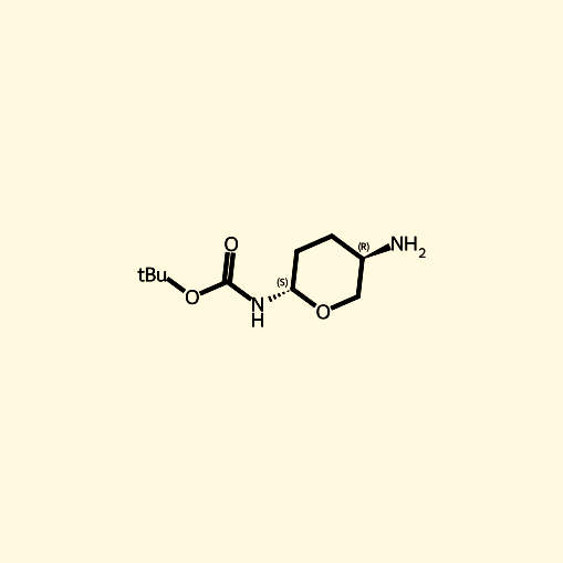 CC(C)(C)OC(=O)N[C@@H]1CC[C@@H](N)CO1